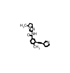 Cc1ccc(C(=O)Nc2cn3c(n2)CCC3C)cc1C#Cc1cccnc1